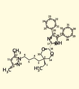 CC[C@]1(CCCCn2nc(C)cc2C)CO[C@@H](c2nc(-c3ccccc3)c(-c3ccccc3)[nH]2)OC1